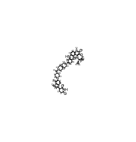 C[C@H](C1CCN(c2ccc3c(C4CCC(=O)NC4=O)nn(C)c3c2F)CC1)N1CCC2(CCN(c3ncc(Cl)c(Nc4ccc5c(c4)c4c(c(=O)n5C)OCC(F)(F)[C@H](C5CC5)N4)n3)CC2)CC1